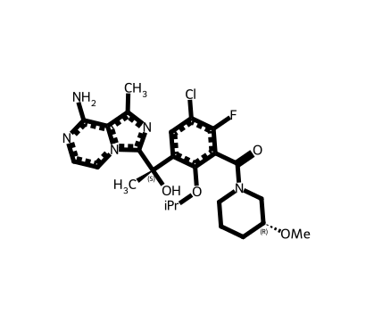 CO[C@@H]1CCCN(C(=O)c2c(F)c(Cl)cc([C@](C)(O)c3nc(C)c4c(N)nccn34)c2OC(C)C)C1